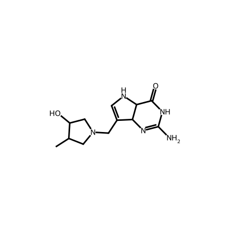 CC1CN(CC2=CNC3C(=O)NC(N)=NC23)CC1O